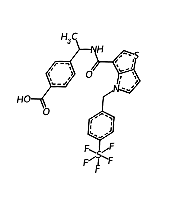 CC(NC(=O)c1csc2ccn(Cc3ccc(S(F)(F)(F)(F)F)cc3)c12)c1ccc(C(=O)O)cc1